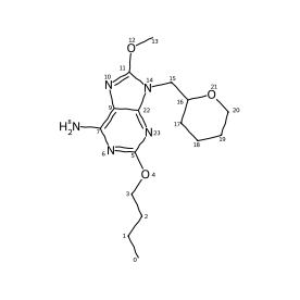 CCCCOc1nc(N)c2nc(OC)n(CC3CCCCO3)c2n1